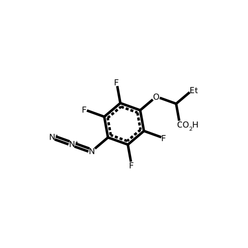 CCC(Oc1c(F)c(F)c(N=[N+]=[N-])c(F)c1F)C(=O)O